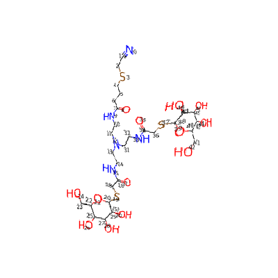 N#CCSCCCC(=O)NCCN(CCNC(=O)CSC1OC(CO)C(O)C(O)[C@@H]1O)CCNC(=O)CSC1OC(CO)C(O)C(O)[C@@H]1O